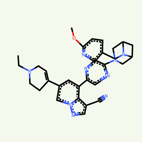 CCN1CC=C(c2cc(-c3cnc(N4CC5CC(C4)N5Cc4ccc(OC)nc4)cn3)c3c(C#N)cnn3c2)CC1